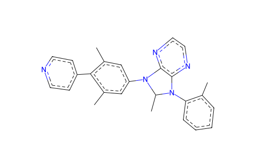 Cc1ccccc1N1c2nccnc2N(c2cc(C)c(-c3ccncc3)c(C)c2)C1C